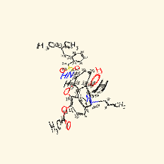 C=CCN1CC[C@]23c4c5ccc(OC(C)=O)c4O[C@H]2[C@H](NS(=O)(=O)Cc2ccccc2CC(C)C)CC[C@@]3(O)[C@H]1C5